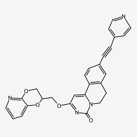 O=c1nc(OCC2COc3ncccc3O2)cc2n1CCc1cc(C#Cc3ccncc3)ccc1-2